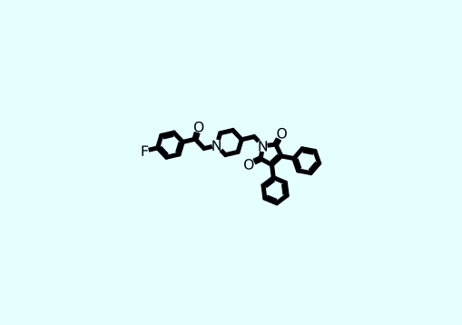 O=C(CN1CCC(CN2C(=O)C(c3ccccc3)=C(c3ccccc3)C2=O)CC1)c1ccc(F)cc1